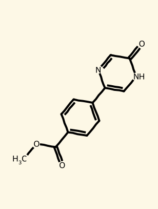 COC(=O)c1ccc(-c2c[nH]c(=O)cn2)cc1